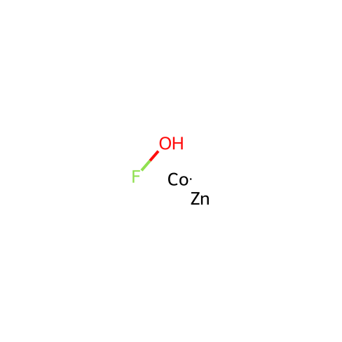 OF.[Co].[Zn]